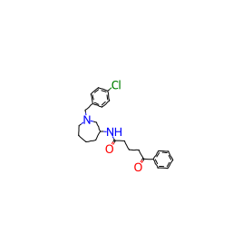 O=C(CCCC(=O)c1ccccc1)NC1CCCCN(Cc2ccc(Cl)cc2)C1